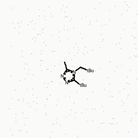 Cc1nnc(C(C)(C)C)n1CC(C)(C)C